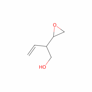 C=CC(CO)C1CO1